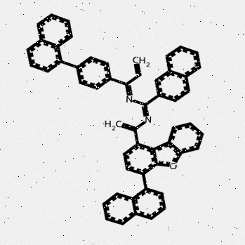 C=C/C(=N\C(=N/C(=C)c1ccc(-c2cccc3ccccc23)c2oc3ccccc3c12)c1ccc2ccccc2c1)c1ccc(-c2cccc3ccccc23)cc1